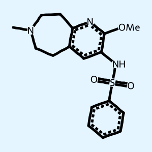 COc1nc2c(cc1NS(=O)(=O)c1ccccc1)CCN(C)CC2